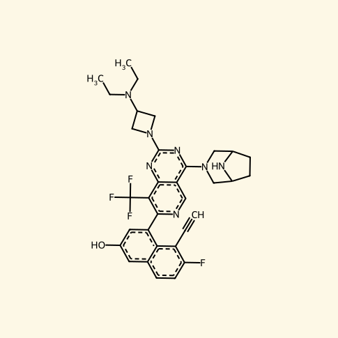 C#Cc1c(F)ccc2cc(O)cc(-c3ncc4c(N5CC6CCC(C5)N6)nc(N5CC(N(CC)CC)C5)nc4c3C(F)(F)F)c12